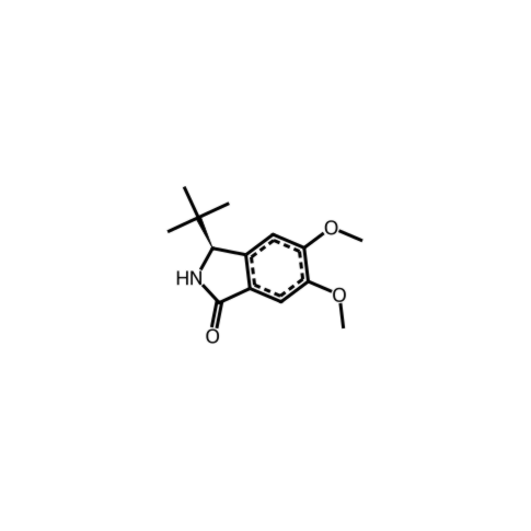 COc1cc2c(cc1OC)[C@H](C(C)(C)C)NC2=O